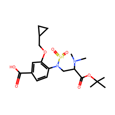 CN(C)C(CN(c1ccc(C(=O)O)cc1OCC1CC1)[SH](=O)=O)C(=O)OC(C)(C)C